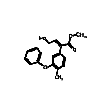 COC(=O)/C(=C/CO)c1ccc(C)c(Oc2ccccc2)c1